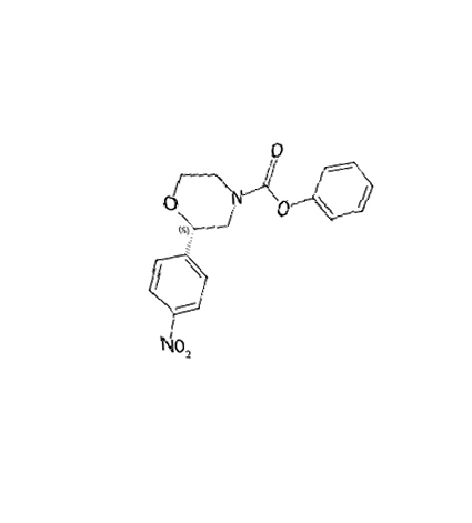 O=C(Oc1ccccc1)N1CCO[C@@H](c2ccc([N+](=O)[O-])cc2)C1